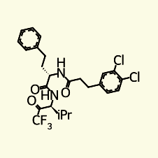 CC(C)[C@H](NC(=O)[C@H](CCc1ccccc1)NC(=O)CCc1ccc(Cl)c(Cl)c1)C(=O)C(F)(F)F